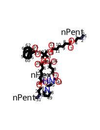 CCCCC/C=C\CCOC(=O)CCCCC(=O)OCC(COC(=O)CCCCC(=O)OCC/C=C\CCCCC)(COC(=O)CCC(CCCCCC)OC(=O)NCCN1CCCC1)COC(=O)C12CC3CC(CC(C3)C1)C2